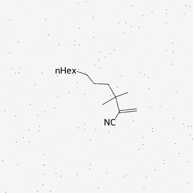 C=C(C#N)C(C)(C)CCCCCCCCC